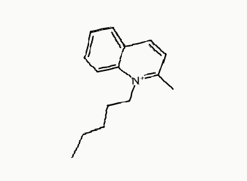 CCCCC[n+]1c(C)ccc2ccccc21